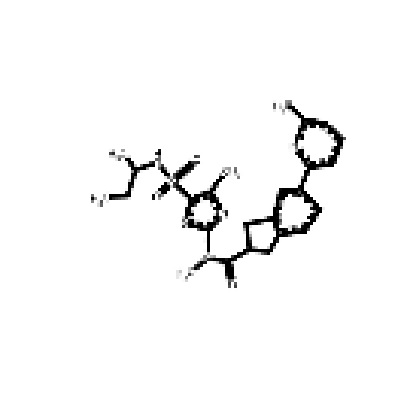 CCC(C)NS(=O)(=O)c1sc(N(C)C(=O)C2Cc3ccc(-c4cccc(N)n4)cc3C2)nc1C